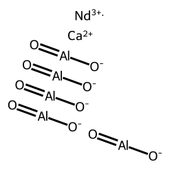 [Ca+2].[Nd+3].[O]=[Al][O-].[O]=[Al][O-].[O]=[Al][O-].[O]=[Al][O-].[O]=[Al][O-]